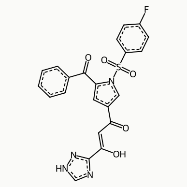 O=C(C=C(O)c1nc[nH]n1)c1cc(C(=O)c2ccccc2)n(S(=O)(=O)c2ccc(F)cc2)c1